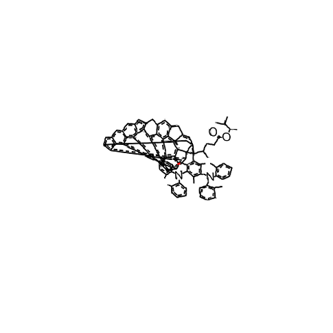 Cc1ccccc1N(c1ccccc1C)c1c(C)c(N(c2ccccc2C)c2ccccc2C)c(C)c(C2(C(C)CCC(=O)OC(C)C(C)C)C34C=C5Cc6cc7c8c9c6c5c5c6c%10c(c%11c(cc%12cc%13cc%14cc(c%15c%14c%14c%13c(c%12%11)c%10c%14c(c%158)c69)C7)C3)C542)c1C